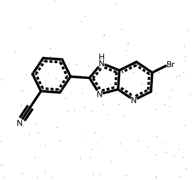 N#Cc1cccc(-c2nc3ncc(Br)cc3[nH]2)c1